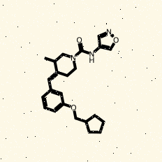 CC1CN(C(=O)Nc2cnoc2)CCC1=Cc1cccc(OCC2CCCC2)c1